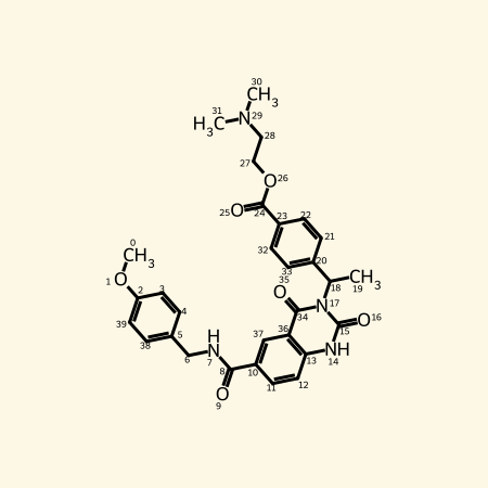 COc1ccc(CNC(=O)c2ccc3[nH]c(=O)n(C(C)c4ccc(C(=O)OCCN(C)C)cc4)c(=O)c3c2)cc1